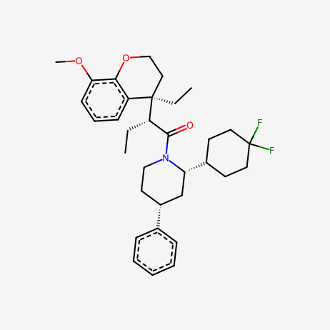 CC[C@@H](C(=O)N1CC[C@@H](c2ccccc2)C[C@H]1C1CCC(F)(F)CC1)[C@]1(CC)CCOc2c(OC)cccc21